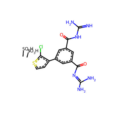 CS(=O)(=O)O.CS(=O)(=O)O.N=C(N)NC(=O)c1cc(C(=O)N=C(N)N)cc(-c2ccsc2Cl)c1